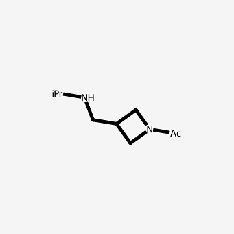 CC(=O)N1CC(CNC(C)C)C1